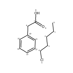 CCCCCCl.O=C(O)Cc1ccccc1